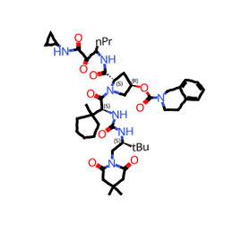 CCCC(NC(=O)[C@@H]1C[C@@H](OC(=O)N2CCc3ccccc3C2)CN1C(=O)[C@@H](NC(=O)N[C@H](CN1C(=O)CC(C)(C)CC1=O)C(C)(C)C)C1(C)CCCCC1)C(=O)C(=O)NC1CC1